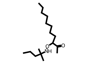 CCCCCCCCC(ONC(C)(C)CCC)C(C)=O